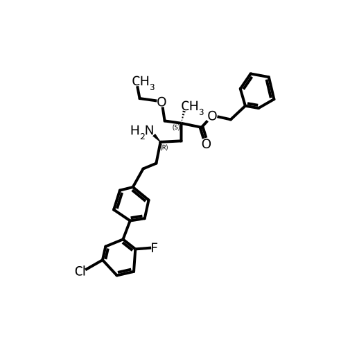 CCOC[C@](C)(C[C@H](N)CCc1ccc(-c2cc(Cl)ccc2F)cc1)C(=O)OCc1ccccc1